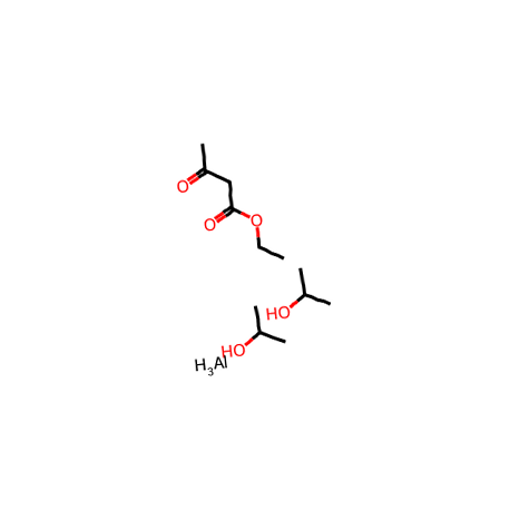 CC(C)O.CC(C)O.CCOC(=O)CC(C)=O.[AlH3]